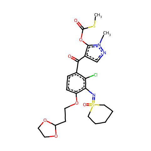 CSC(=O)Oc1c(C(=O)c2ccc(OCCC3OCCO3)c(N=S3(=O)CCCCC3)c2Cl)cnn1C